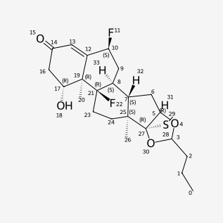 CCCC1O[C@@H]2C[C@H]3[C@@H]4C[C@H](F)C5=CC(=O)C[C@@H](O)[C@]5(C)[C@@]4(F)CC[C@]3(C)[C@]2(SC)O1